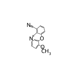 COc1ccccc1Oc1cccc(C#N)c1C#N